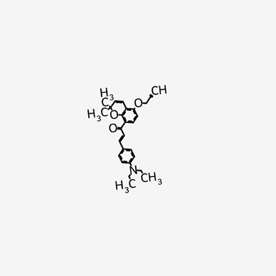 C#CCOc1ccc(C(=O)C=Cc2ccc(N(CC)CC)cc2)c2c1C=CC(C)(C)O2